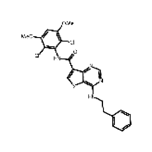 COc1cc(OC)c(Cl)c(NC(=O)c2csc3c(NCCc4ccccc4)ncnc23)c1Cl